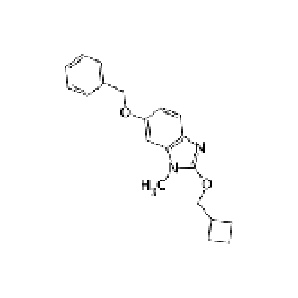 Cn1c(OCC2CCC2)nc2ccc(OCc3ccccc3)cc21